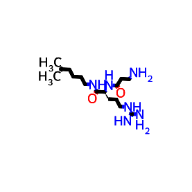 CC(C)CCCCNC(=O)[C@@H](CCCNC(=N)N)NC(=O)CCN